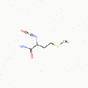 CSCCC(N=C=O)C(N)=O